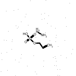 C=CCOS(=O)(=O)O.NN